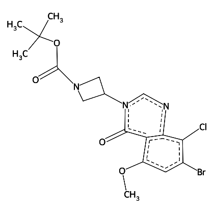 COc1cc(Br)c(Cl)c2ncn(C3CN(C(=O)OC(C)(C)C)C3)c(=O)c12